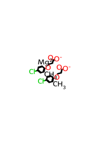 Cc1cc(Cl)ccc1OCCC(=O)[O-].Cc1cc(Cl)ccc1OCCC(=O)[O-].[Mg+2]